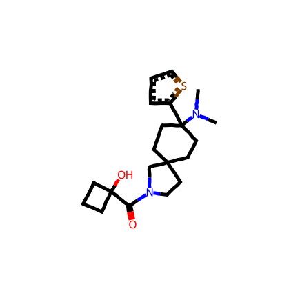 CN(C)C1(c2cccs2)CCC2(CCN(C(=O)C3(O)CCC3)C2)CC1